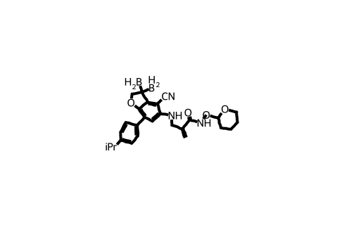 BC1(B)COc2c(-c3ccc(C(C)C)cc3)cc(NCC(=C)C(=O)NOC3CCCCO3)c(C#N)c21